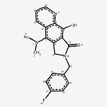 CC(=O)N(C)c1c2c(c(O)c3ncccc13)C(=O)N(Cc1ccc(F)cc1)C2